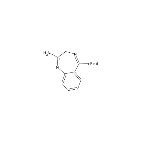 CCCCCC1=NCC(N)=Nc2ccccc21